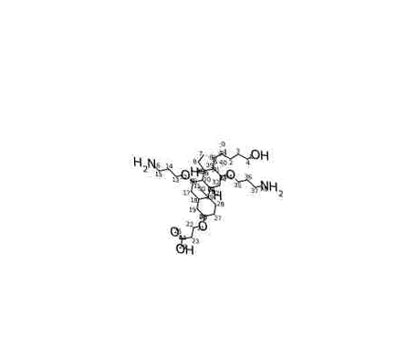 C[C@H](CCCO)[C@H]1CC[C@H]2C3[C@H](OCCCN)CC4C[C@H](OCCC(=O)O)CCC4(C)[C@H]3C[C@H](OCCCN)[C@]12C